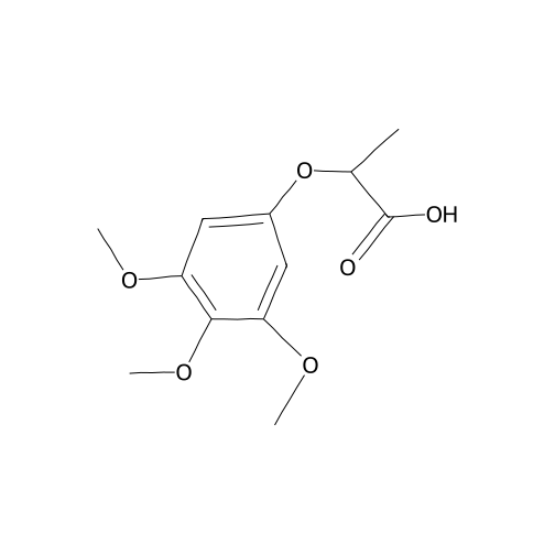 COc1cc(OC(C)C(=O)O)cc(OC)c1OC